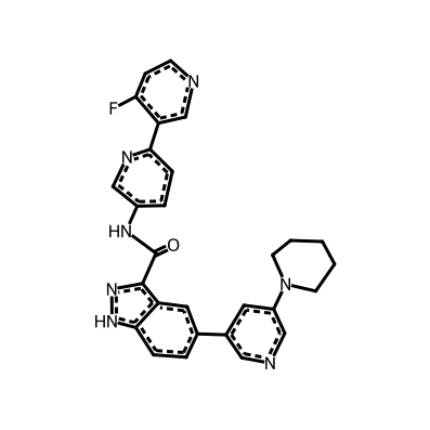 O=C(Nc1ccc(-c2cnccc2F)nc1)c1n[nH]c2ccc(-c3cncc(N4CCCCC4)c3)cc12